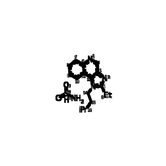 CCc1nc2cnc3ccccc3c2n1CCC(C)C.N[SH](=O)=O